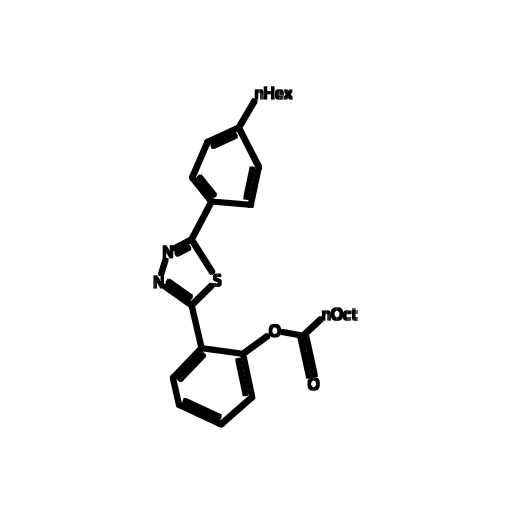 CCCCCCCCC(=O)Oc1ccccc1-c1nnc(-c2ccc(CCCCCC)cc2)s1